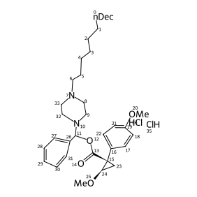 CCCCCCCCCCCCCCCCN1CCN(C(OC(=O)[C@@]2(c3ccc(OC)cc3)C[C@H]2OC)c2ccccc2)CC1.Cl.Cl